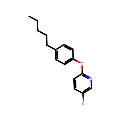 CCCCCc1ccc(Oc2ccc(Br)cn2)cc1